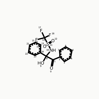 O=C(c1ccccc1)C(O)(NS(=O)(=O)C(F)(F)F)c1ccccc1